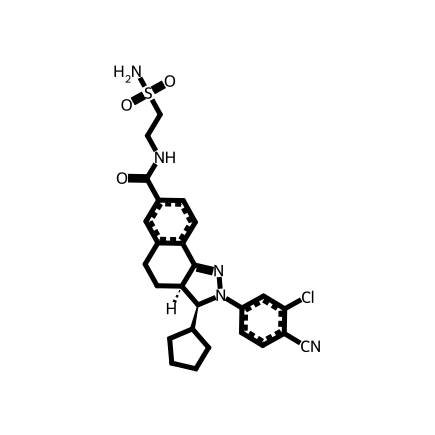 N#Cc1ccc(N2N=C3c4ccc(C(=O)NCCS(N)(=O)=O)cc4CC[C@@H]3[C@@H]2C2CCCC2)cc1Cl